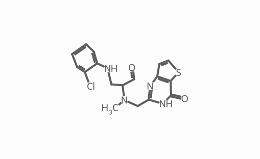 CN(Cc1nc2ccsc2c(=O)[nH]1)C(C=O)CNc1ccccc1Cl